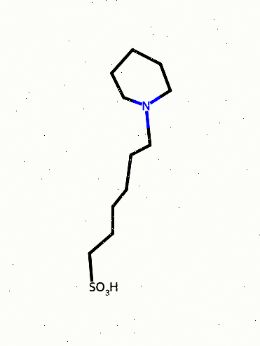 O=S(=O)(O)CCCCCCN1CCCCC1